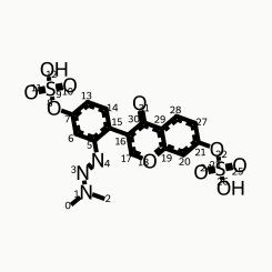 CN(C)N=Nc1cc(OS(=O)(=O)O)ccc1-c1coc2cc(OS(=O)(=O)O)ccc2c1=O